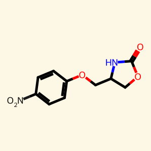 O=C1NC(COc2ccc([N+](=O)[O-])cc2)CO1